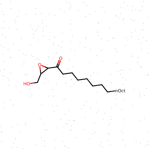 CCCCCCCCCCCCCCCC(=O)C1OC1CO